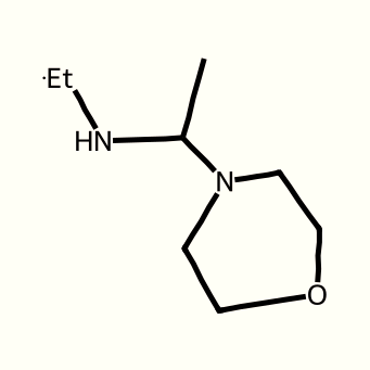 C[CH]NC(C)N1CCOCC1